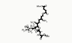 COC(=O)CCC(=O)SCCC(N)CCC(N)C(OC(=O)CNC(=O)OC(C)(C)C)C(C)(C)CO[Si](C)(C)C(C)(C)C